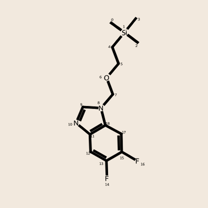 C[Si](C)(C)CCOCn1cnc2cc(F)c(F)cc21